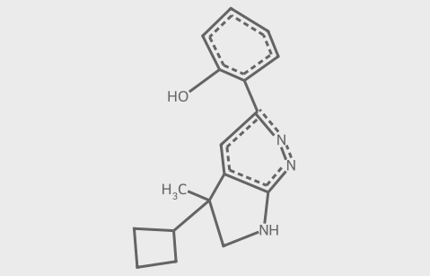 CC1(C2CCC2)CNc2nnc(-c3ccccc3O)cc21